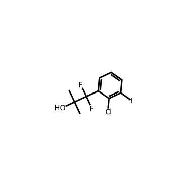 CC(C)(O)C(F)(F)c1cccc(I)c1Cl